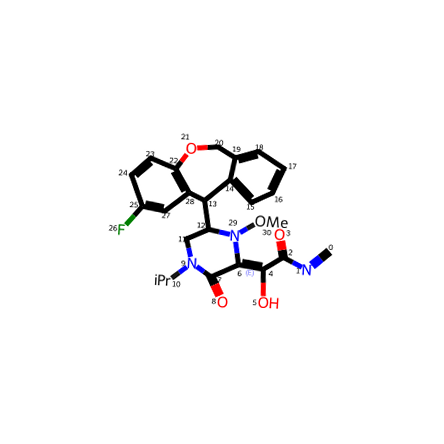 C=NC(=O)/C(O)=C1/C(=O)N(C(C)C)CC(C2c3ccccc3COc3ccc(F)cc32)N1OC